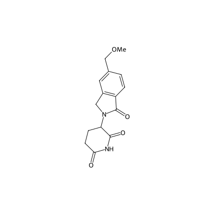 COCc1ccc2c(c1)CN(C1CCC(=O)NC1=O)C2=O